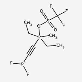 CCP(C)(C#CP(F)F)(CC)OS(=O)(=O)C(F)(F)F